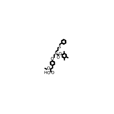 CCOC(Cc1ccc(OCCN(CCCSCc2ccccc2)C(=O)Oc2cc(C)c(C)cc2C)cc1)C(=O)O